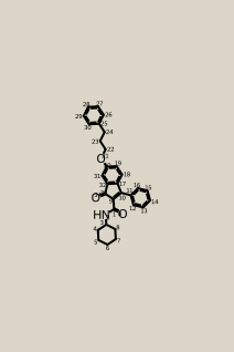 O=C(NC1CCCCC1)C1=C(c2ccccc2)c2ccc(OCCCc3ccccc3)cc2C1=O